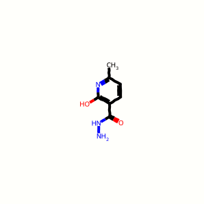 Cc1ccc(C(=O)NN)c(O)n1